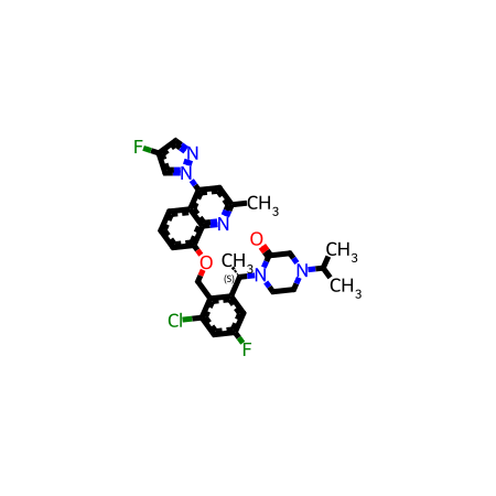 Cc1cc(-n2cc(F)cn2)c2cccc(OCc3c(Cl)cc(F)cc3[C@H](C)N3CCN(C(C)C)CC3=O)c2n1